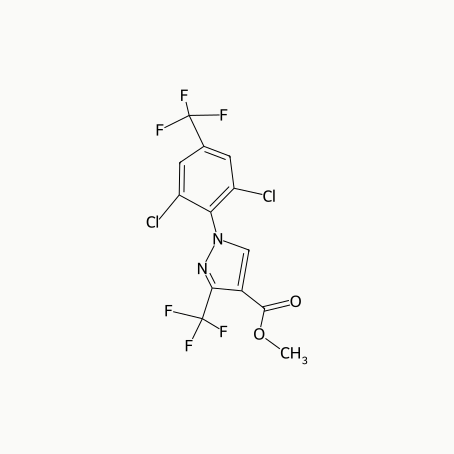 COC(=O)c1cn(-c2c(Cl)cc(C(F)(F)F)cc2Cl)nc1C(F)(F)F